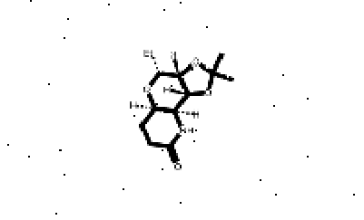 CC[C@H]1O[C@@H]2CCC(=O)N[C@@H]2[C@H]2OC(C)(C)O[C@H]21